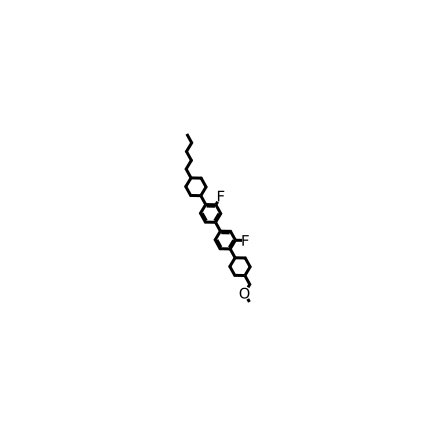 CCCCCC1CCC(c2ccc(-c3ccc(C4CCC(COC)CC4)c(F)c3)cc2F)CC1